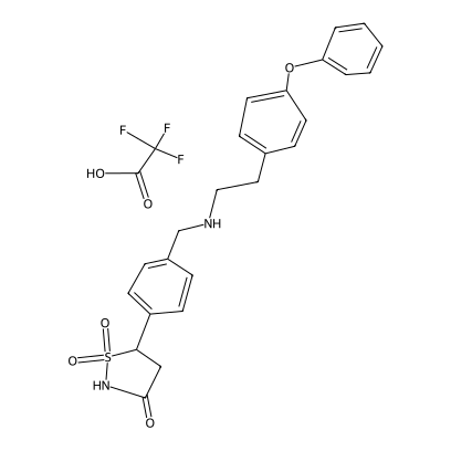 O=C(O)C(F)(F)F.O=C1CC(c2ccc(CNCCc3ccc(Oc4ccccc4)cc3)cc2)S(=O)(=O)N1